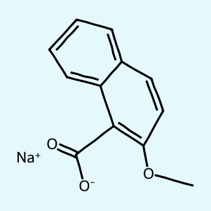 COc1ccc2ccccc2c1C(=O)[O-].[Na+]